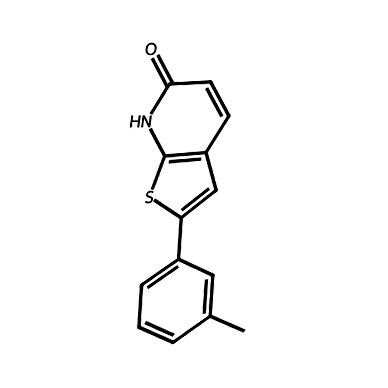 Cc1cccc(-c2cc3ccc(=O)[nH]c3s2)c1